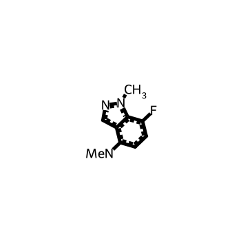 CNc1ccc(F)c2c1cnn2C